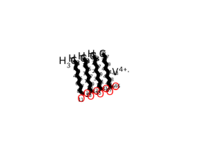 CCCCCCCCCC(=O)[O-].CCCCCCCCCC(=O)[O-].CCCCCCCCCC(=O)[O-].CCCCCCCCCC(=O)[O-].[V+4]